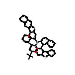 CC(C)(C)c1ccc(N(c2ccc3c(c2)oc2cc4ccccc4cc23)c2ccc3ccccc3c2-c2cccc3sc4ccccc4c23)c(-c2ccccc2)c1